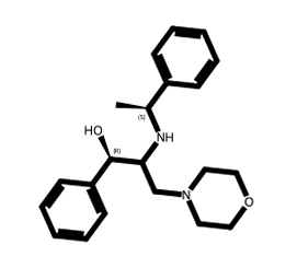 C[C@H](NC(CN1CCOCC1)[C@H](O)c1ccccc1)c1ccccc1